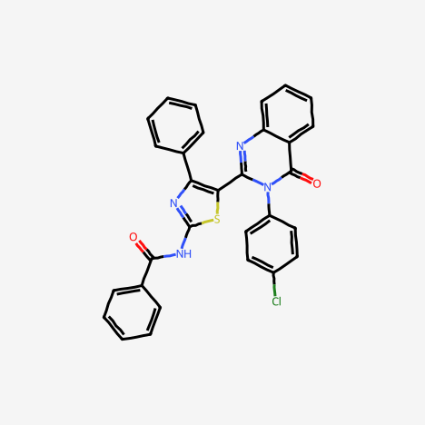 O=C(Nc1nc(-c2ccccc2)c(-c2nc3ccccc3c(=O)n2-c2ccc(Cl)cc2)s1)c1ccccc1